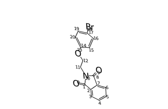 O=C1c2ccccc2C(=O)N1CCOc1ccc(Br)cc1